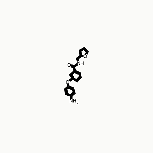 Nc1ccc(Oc2cccc(C(=O)NCC3CCCO3)c2)cc1